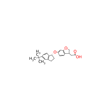 CC(C)(C)c1ccc2c(c1)CC[C@H]2Oc1ccc2c(c1)OCC2CC(=O)O